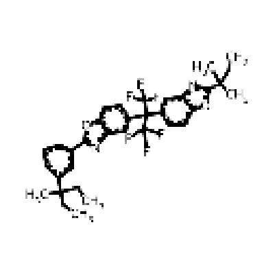 CCC(C)(C)c1nc2cc(C(c3ccc4oc(-c5cccc(C(C)(CC)CC)c5)nc4c3)(C(F)(F)F)C(F)(F)F)ccc2o1